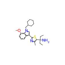 CCC(N)(CC)c1sc(-c2cn(CC3CCCCC3)c3c(OC)cccc23)nc1C